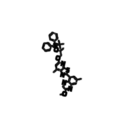 COc1cnc2c(-c3nc4c(C)cc(OCC(C)O[Si](c5ccccc5)(c5ccccc5)C(C)(C)C)nc4s3)cc(C)cc2n1